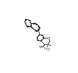 CC1(C)COc2cc(-c3ccc4ccccc4c3)ccc2C1NC(=O)O